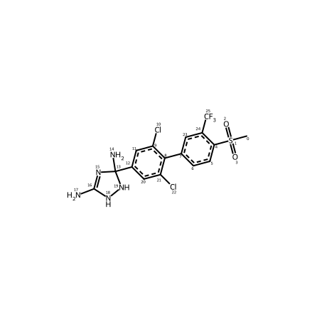 CS(=O)(=O)c1ccc(-c2c(Cl)cc(C3(N)N=C(N)NN3)cc2Cl)cc1C(F)(F)F